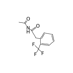 CC(=O)NC(=O)Cc1ccccc1C(F)(F)F